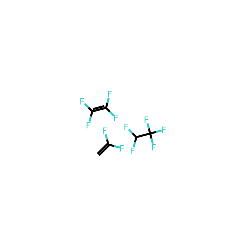 C=C(F)F.FC(F)=C(F)F.FC(F)C(F)(F)F